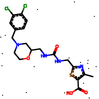 Cc1nc(CNC(=O)NCC2CN(Cc3ccc(Cl)c(Cl)c3)CCO2)sc1C(=O)O